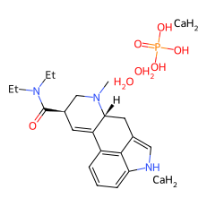 CCN(CC)C(=O)[C@@H]1C=C2c3cccc4[nH]cc(c34)C[C@H]2N(C)C1.O.O.O=P(O)(O)O.[CaH2].[CaH2]